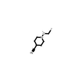 N#CC1CCN(OCI)CC1